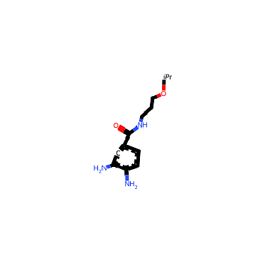 CC(C)OCCCNC(=O)c1ccc(N)c(N)c1